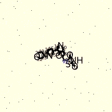 O=C1NC(=O)/C(=C\c2cc3cncc(-c4ccc(N5CCOCC5)nc4)c3o2)S1